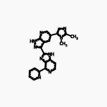 Cc1ncc(-c2cnc3[nH]nc(-c4nc5c(-c6ccccn6)nccc5[nH]4)c3c2)n1C